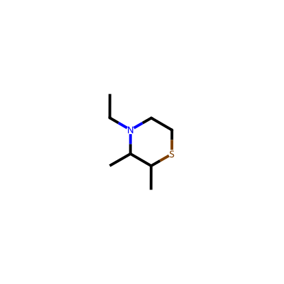 CCN1CCSC(C)C1C